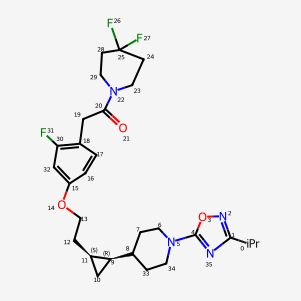 CC(C)c1noc(N2CCC([C@H]3C[C@H]3CCOc3ccc(CC(=O)N4CCC(F)(F)CC4)c(F)c3)CC2)n1